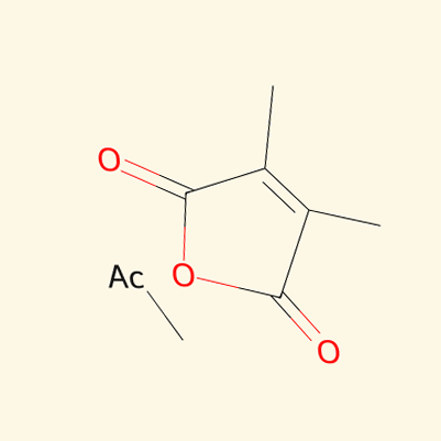 CC(C)=O.CC1=C(C)C(=O)OC1=O